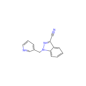 N#Cc1nn(Cc2cccnc2)c2ccccc12